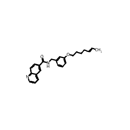 C/C=C/CCCCOc1cccc(CNC(=O)c2ccc3ncccc3c2)c1